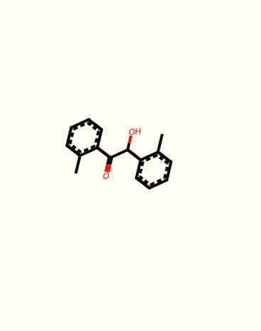 Cc1ccccc1C(=O)C(O)c1ccccc1C